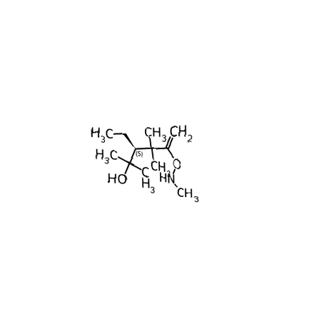 C=C(ONC)C(C)(C)[C@H](CC)C(C)(C)O